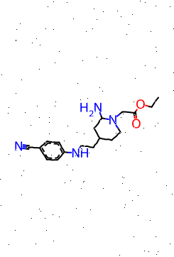 CCOC(=O)CN1CCC(CCNc2ccc(C#N)cc2)CC1N